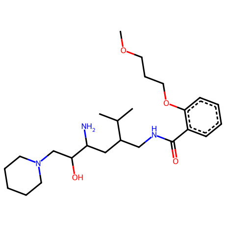 COCCCOc1ccccc1C(=O)NCC(CC(N)C(O)CN1CCCCC1)C(C)C